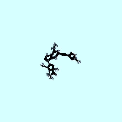 CNC(=O)[C@@]1(C)C[C@@H](n2cnc3c(NC)nc(C#Cc4cnn(C)c4)nc32)[C@H](O)[C@@H]1O